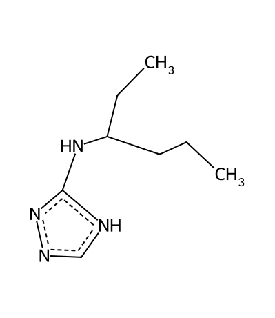 CCCC(CC)Nc1nnc[nH]1